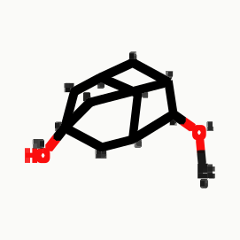 CCOC1C2CC3CC1CC(O)(C3)C2